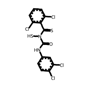 O=C(Nc1ccc(Cl)c(Cl)c1)N(S)C(=S)c1c(Cl)cccc1Cl